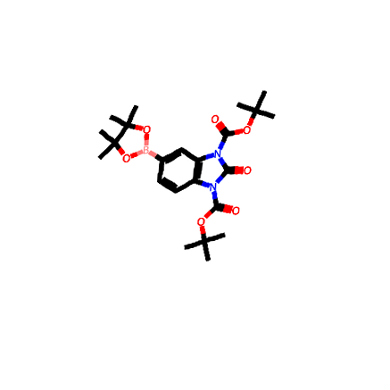 CC(C)(C)OC(=O)n1c(=O)n(C(=O)OC(C)(C)C)c2cc(B3OC(C)(C)C(C)(C)O3)ccc21